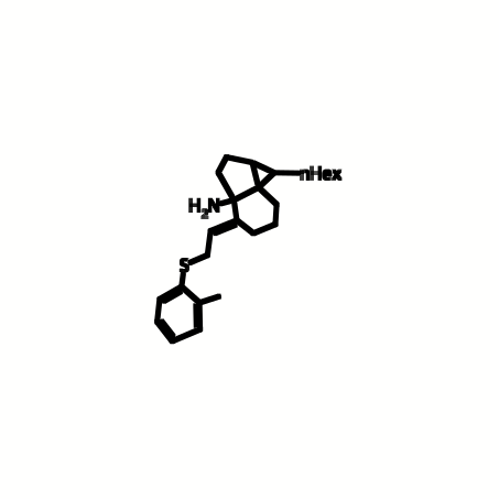 CCCCCCC1C2CCC3(N)/C(=C/CSc4ccccc4C)CCCC123